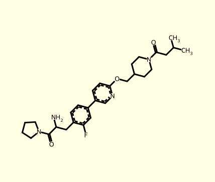 CC(C)CC(=O)N1CCC(COc2ccc(-c3ccc(CC(N)C(=O)N4CCCC4)c(F)c3)cn2)CC1